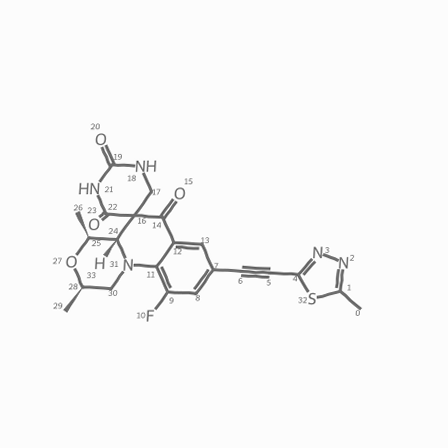 Cc1nnc(C#Cc2cc(F)c3c(c2)C(=O)C2(CNC(=O)NC2=O)[C@H]2[C@H](C)O[C@H](C)CN32)s1